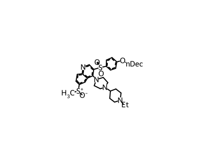 CCCCCCCCCCOc1ccc(S(=O)(=O)c2cnc3ccc([S+](C)[O-])cc3c2N2CCN(C3CCN(CC)CC3)CC2)cc1